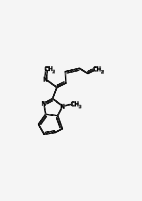 C=C/C=C\C=C(/N=C)c1nc2ccccc2n1C